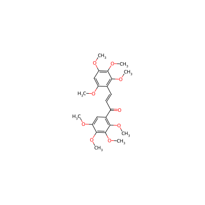 COc1cc(OC)c(OC)c(OC)c1C=CC(=O)c1cc(OC)c(OC)c(OC)c1OC